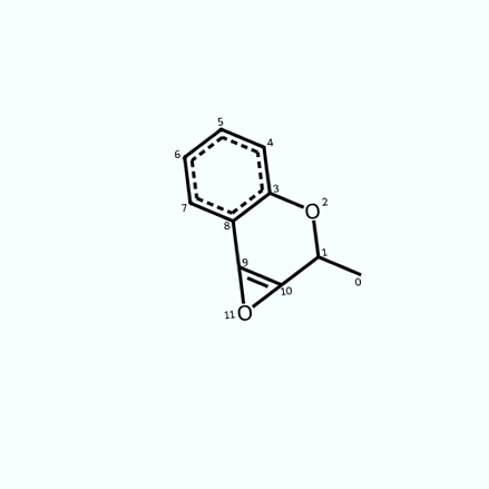 CC1Oc2ccccc2C2=C1O2